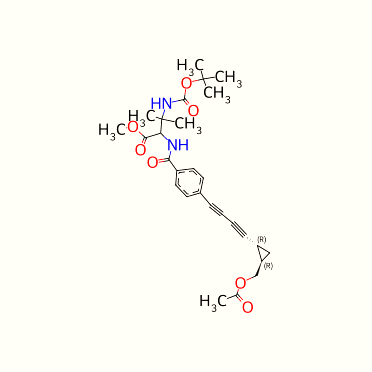 COC(=O)C(NC(=O)c1ccc(C#CC#C[C@@H]2C[C@H]2COC(C)=O)cc1)C(C)(C)NC(=O)OC(C)(C)C